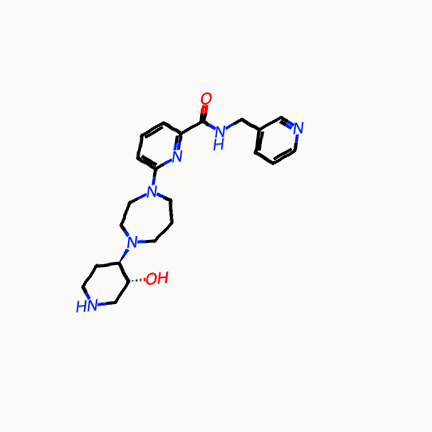 O=C(NCc1cccnc1)c1cccc(N2CCCN([C@@H]3CCNC[C@H]3O)CC2)n1